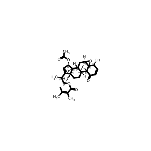 CC(=O)O[C@H]1C=C([C@H](C)[C@H]2CC(C)=C(C)C(=O)O2)[C@@]2(C)CC[C@H]3[C@@H](C[C@H]4O[C@]45[C@@H](O)C=CC(=O)[C@]35C)[C@]12O